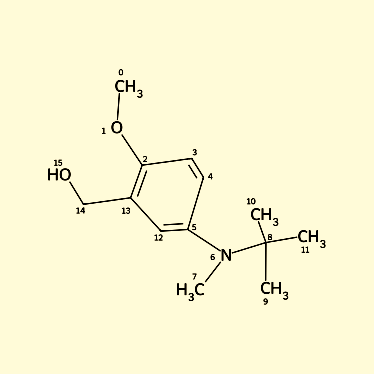 COc1ccc(N(C)C(C)(C)C)cc1CO